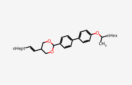 CCCCCCC/C=C/C1COC(c2ccc(-c3ccc(OC(C)CCCCCC)cc3)cc2)OC1